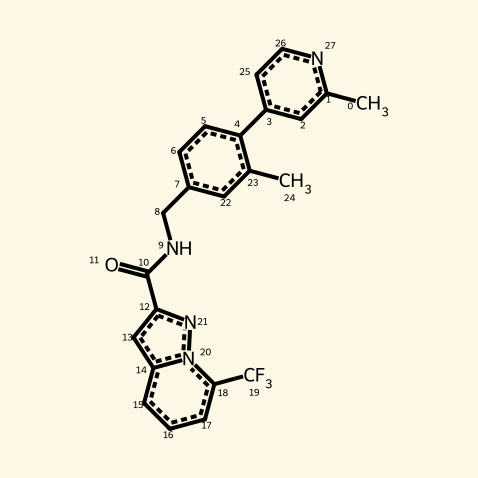 Cc1cc(-c2ccc(CNC(=O)c3cc4cccc(C(F)(F)F)n4n3)cc2C)ccn1